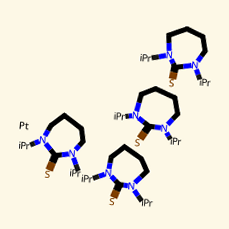 CC(C)N1CCCCN(C(C)C)C1=S.CC(C)N1CCCCN(C(C)C)C1=S.CC(C)N1CCCCN(C(C)C)C1=S.CC(C)N1CCCCN(C(C)C)C1=S.[Pt]